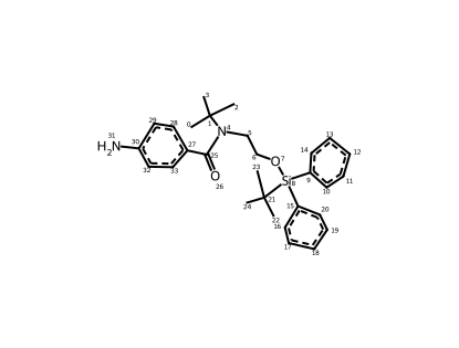 CC(C)(C)N(CCO[Si](c1ccccc1)(c1ccccc1)C(C)(C)C)C(=O)c1ccc(N)cc1